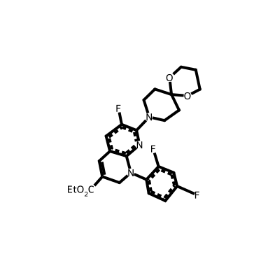 CCOC(=O)C1=Cc2cc(F)c(N3CCC4(CC3)OCCCO4)nc2N(c2ccc(F)cc2F)C1